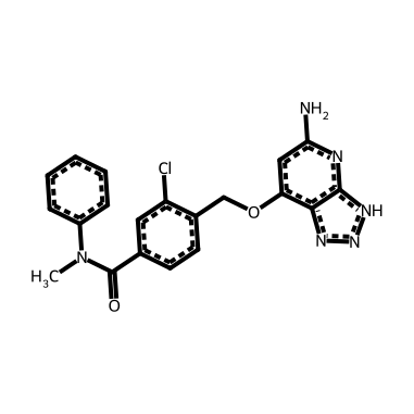 CN(C(=O)c1ccc(COc2cc(N)nc3[nH]nnc23)c(Cl)c1)c1ccccc1